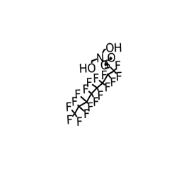 O=S(=O)(N(CO)CO)C(F)(F)C(F)(F)C(F)(F)C(F)(F)C(F)(F)C(F)(F)C(F)(F)C(F)(F)F